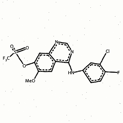 COc1cc2c(Nc3ccc(F)c(Cl)c3)ncnc2cc1OS(=O)(=O)C(F)(F)F